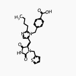 CCCCc1ncc(/C=C2\C(=O)NC(=O)N2Cc2cccs2)n1Cc1ccc(C(=O)O)cc1